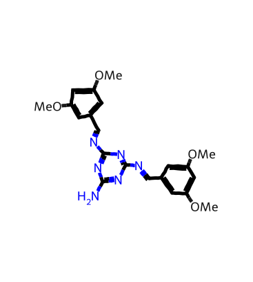 COc1cc(C=Nc2nc(N)nc(N=Cc3cc(OC)cc(OC)c3)n2)cc(OC)c1